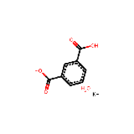 O.O=C(O)c1cccc(C(=O)O)c1.[KH]